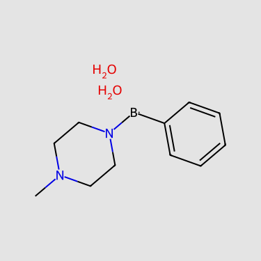 CN1CCN([B]c2ccccc2)CC1.O.O